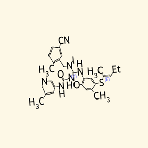 CC/C=C(\C)Sc1cc(N/C(=N/C(=O)Nc2cncc(C)c2)N(I)Cc2cc(C#N)ccc2C)c(O)cc1C